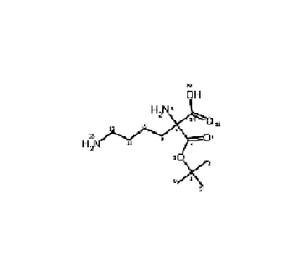 CC(C)(C)OC(=O)C(N)(CCCCN)C(=O)O